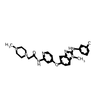 CN1CCN(CC(=O)Nc2cc(Oc3ccc4c(c3)nc(Nc3cccc(C(F)(F)F)c3)n4C)ccn2)CC1